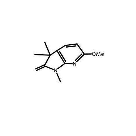 C=C1N(C)c2nc(OC)ccc2C1(C)C